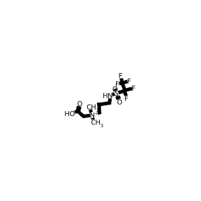 C[N+](C)(CCCNS(=O)(=O)C(F)(F)C(F)(F)F)CC(=O)O